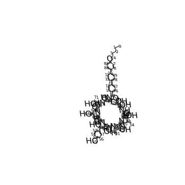 CCCCCOc1ccc(-c2ccc(-c3ccc(C(=O)N[C@@H]4C[C@@H](O)[C@@H](O)NC(=O)[C@@H]5[C@@H](O)[C@@H](C)CN5C(=O)[C@H]([C@@H](C)O)NC(=O)[C@H]([C@H](O)[C@@H](O)c5ccc(O)cc5)NC(=O)[C@@H]5C[C@@H](O)CN5C(=O)[C@H]([C@@H](C)O)NC4=O)cc3)cc2)cc1